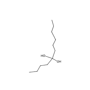 CCCCCCC(O)(O)CCCC